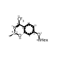 CCCCCCOc1ccc(/C(=N\[S@+](C)[O-])C(F)(F)F)cc1